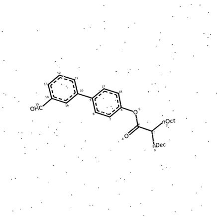 CCCCCCCCCCC(CCCCCCCC)C(=O)Oc1ccc(-c2cccc(C=O)c2)cc1